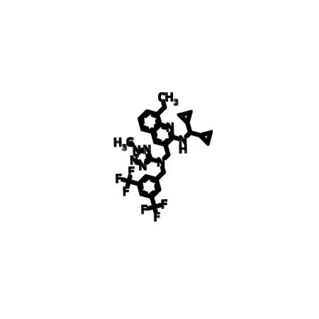 CCc1cccc2cc(CN(Cc3cc(C(F)(F)F)cc(C(F)(F)F)c3)c3nnn(C)n3)c(NC(C3CC3)C3CC3)nc12